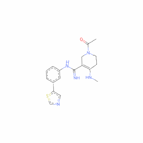 CNC1=C(C(=N)Nc2cccc(-c3cncs3)c2)CN(C(C)=O)CC1